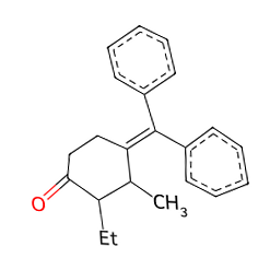 CCC1C(=O)CCC(=C(c2ccccc2)c2ccccc2)C1C